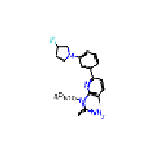 C=C(N)N(CCCCC)c1nc(-c2cccc(N3CCC(F)C3)c2)ccc1C